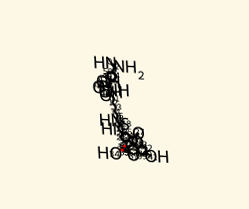 N=C(N)c1ccc(C(NC(=O)CCCCCNC(=S)Nc2ccc3c(c2)C(=O)OC32c3ccc(O)cc3Oc3cc(O)ccc32)P(=O)(O)O)cc1